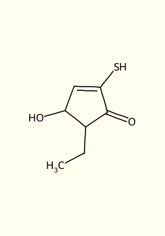 CCC1C(=O)C(S)=CC1O